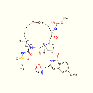 COc1ccc2c(O[C@@H]3C[C@H]4C(=O)N[C@]5(C(=O)NS(=O)(=O)C6CC6)C[C@H]5CCCOCCC[C@H](NC(=O)OC(C)(C)C)C(=O)N4C3)nc(-c3ncco3)cc2c1